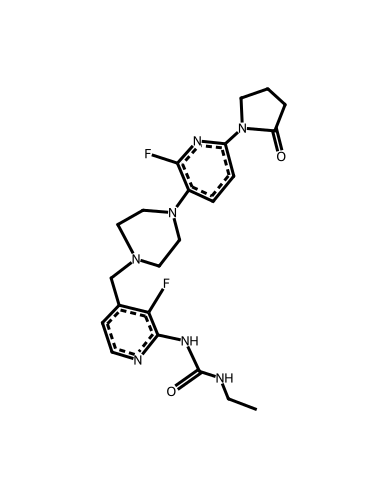 CCNC(=O)Nc1nccc(CN2CCN(c3ccc(N4CCCC4=O)nc3F)CC2)c1F